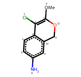 COC1=C(Cl)c2ccc(N)cc2CO1